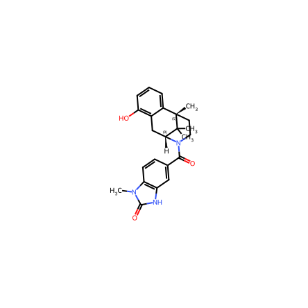 Cn1c(=O)[nH]c2cc(C(=O)N3CC[C@@]4(C)c5cccc(O)c5C[C@@H]3C4(C)C)ccc21